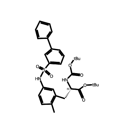 Cc1ccc(NS(=O)(=O)c2cccc(-c3ccccc3)c2)cc1C[C@H](NC(=O)OC(C)(C)C)C(=O)OC(C)(C)C